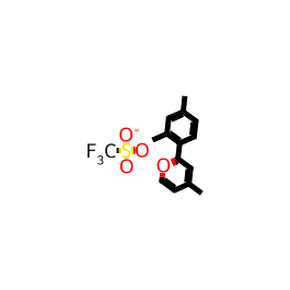 Cc1cc[o+]c(-c2ccc(C)cc2C)c1.O=S(=O)([O-])C(F)(F)F